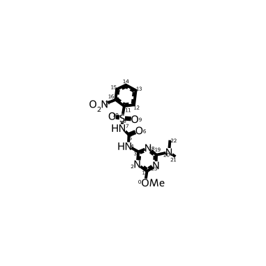 COc1nc(NC(=O)NS(=O)(=O)c2ccccc2[N+](=O)[O-])nc(N(C)C)n1